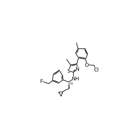 Cc1ccc(OCCl)c(-c2nc(N[C@@H](CC3CC3)c3cccc(CF)c3)sc2C)c1